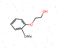 COc1c[c]ccc1OCCO